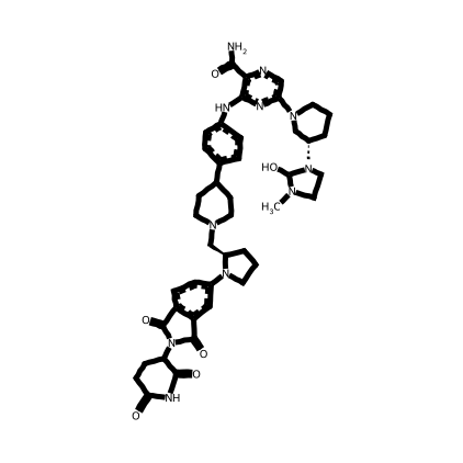 CN1CCN([C@H]2CCCN(c3cnc(C(N)=O)c(Nc4ccc(C5CCN(C[C@H]6CCCN6c6ccc7c(c6)C(=O)N(C6CCC(=O)NC6=O)C7=O)CC5)cc4)n3)C2)C1O